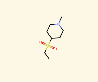 CCS(=O)(=O)C1CCN(C)CC1